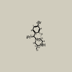 CC(C)C(c1ccc(Br)cc1)N1C[C@H](C)NC[C@H]1C